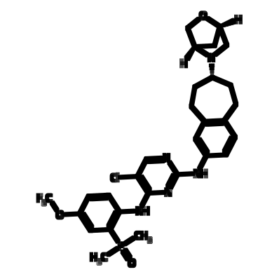 CP(C)(=O)c1cc(OC(F)(F)F)ccc1Nc1nc(Nc2ccc3c(c2)CC[C@H](N2C[C@@H]4C[C@H]2CO4)CC3)ncc1Cl